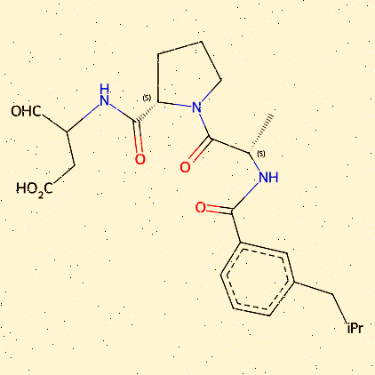 CC(C)Cc1cccc(C(=O)N[C@@H](C)C(=O)N2CCC[C@H]2C(=O)NC(C=O)CC(=O)O)c1